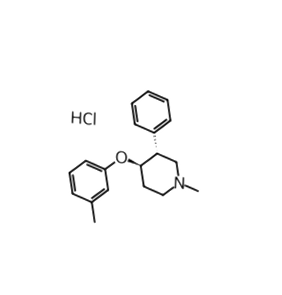 Cc1cccc(O[C@@H]2CCN(C)C[C@H]2c2ccccc2)c1.Cl